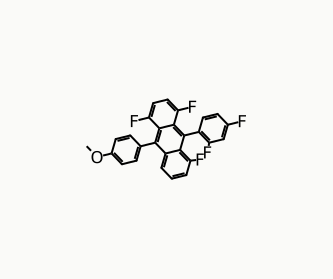 COc1ccc(-c2c3cccc(F)c3c(-c3ccc(F)cc3F)c3c(F)ccc(F)c23)cc1